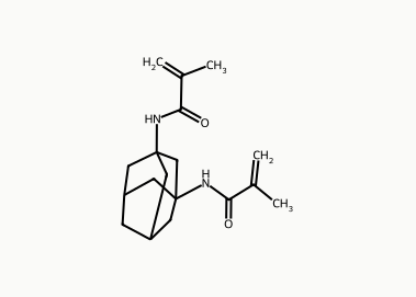 C=C(C)C(=O)NC12CC3CC(C1)CC(NC(=O)C(=C)C)(C3)C2